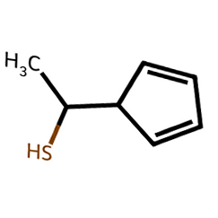 CC(S)C1C=CC=C1